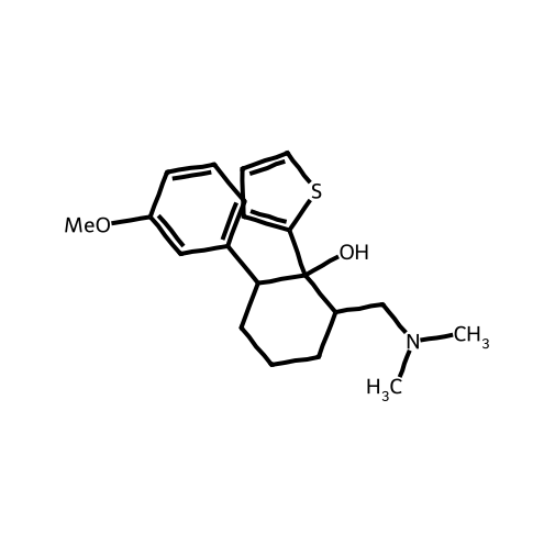 COc1cccc(C2CCCC(CN(C)C)C2(O)c2cccs2)c1